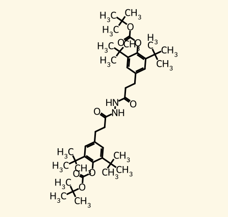 CC(C)(C)OC(=O)Oc1c(C(C)(C)C)cc(CCC(=O)NNC(=O)CCc2cc(C(C)(C)C)c(OC(=O)OC(C)(C)C)c(C(C)(C)C)c2)cc1C(C)(C)C